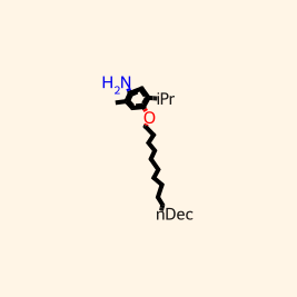 CCCCCCCCCCCCCCCCCCCCOc1cc(C)c(N)cc1C(C)C